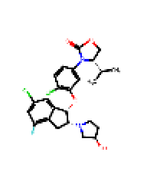 CC(C)[C@H]1COC(=O)N1c1ccc(Cl)c(O[C@H]2c3cc(Cl)cc(F)c3C[C@H]2N2CC[C@@H](O)C2)c1